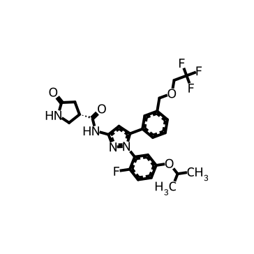 CC(C)Oc1ccc(F)c(-n2nc(NC(=O)[C@@H]3CNC(=O)C3)cc2-c2cccc(COCC(F)(F)F)c2)c1